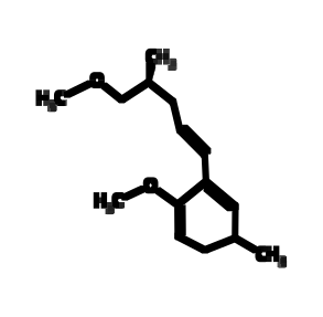 COC[C@@H](C)C/C=C/C1=CC(C)CC=C1OC